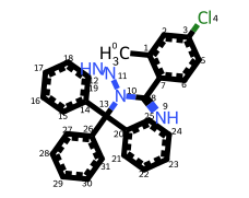 Cc1cc(Cl)ccc1C(=N)N(N=N)C(c1ccccc1)(c1ccccc1)c1ccccc1